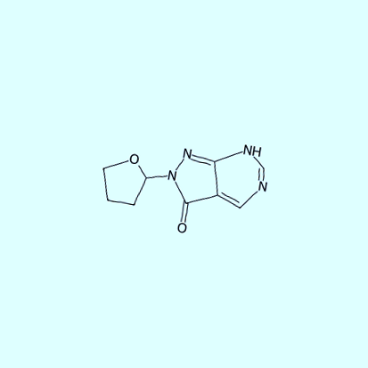 O=c1c2cnc[nH]c-2nn1C1CCCO1